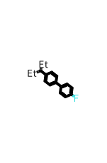 CCC(CC)c1ccc(-c2ccc(F)cc2)cc1